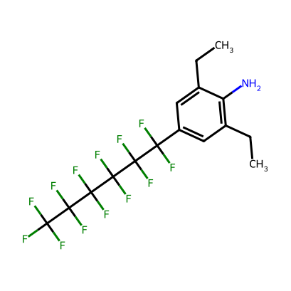 CCc1cc(C(F)(F)C(F)(F)C(F)(F)C(F)(F)C(F)(F)C(F)(F)F)cc(CC)c1N